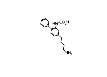 NCCCCc1ccc(-c2ccccc2)c(NC(=O)O)c1